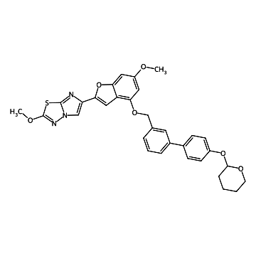 COc1cc(OCc2cccc(-c3ccc(OC4CCCCO4)cc3)c2)c2cc(-c3cn4nc(OC)sc4n3)oc2c1